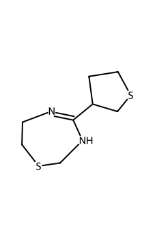 C1CSCNC(C2CCSC2)=N1